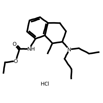 CCCN(CCC)C1CCc2cccc(NC(=O)OCC)c2C1C.Cl